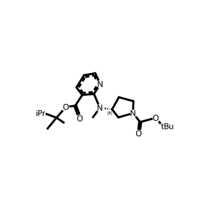 CC(C)C(C)(C)OC(=O)c1cccnc1N(C)[C@@H]1CCN(C(=O)OC(C)(C)C)C1